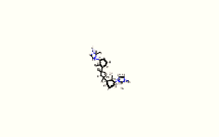 Cc1c(N2C=CN(C)C2C)cccc1C(C)(C)CC(C)(C)c1cccc(N2C=CN(C)[C@@H]2C)c1C